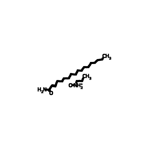 CCCCCCCCCCCCCCCC=CC(N)=O.CCC[NH2+][O-]